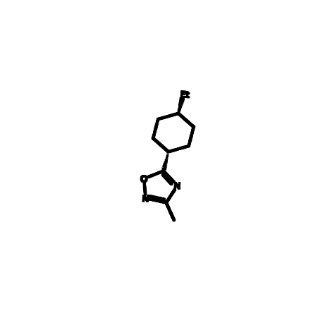 CC[C@H]1CC[C@H](c2nc(C)no2)CC1